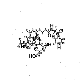 Cc1cc(CCCC(=O)NC(C)(C)C(=O)N2CCNCC2)ccc1Cc1c(O[C@@H]2O[C@H](CO)C[C@H](O)/C2=C/O)n[nH]c1C(C)C